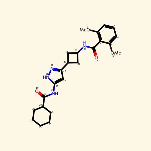 COc1cccc(OC)c1C(=O)NC1CC(c2cc(NC(=O)C3CCCCC3)[nH]n2)C1